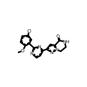 COc1ccc(Cl)cc1-c1nccc(-c2cc3n(n2)CCNC3=O)n1